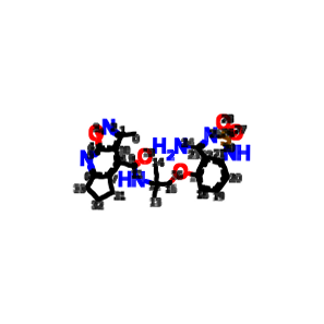 Cc1noc2nc3c(c(C(=O)NC(C)(C)COc4cccc5c4C(N)=NS(=O)(=O)N5)c12)CCC3